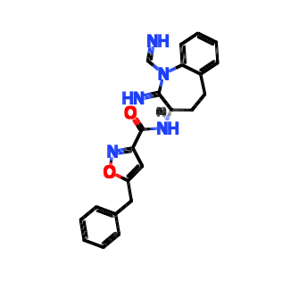 N=CN1C(=N)[C@@H](NC(=O)c2cc(Cc3ccccc3)on2)CCc2ccccc21